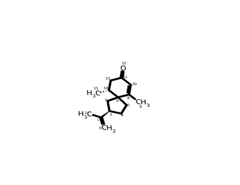 C=C(C)[C@@H]1CCC2(C1)C(C)=CC(=O)C[C@H]2C